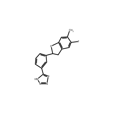 Cc1cc2c(cc1F)CC(c1cccc(-c3nnn[nH]3)c1)O2